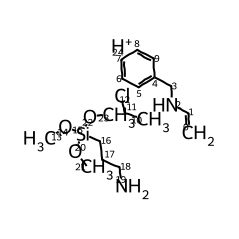 C=CNCc1ccccc1.CCCl.CO[Si](CCCN)(OC)OC.[H+]